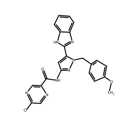 COc1ccc(Cn2nc(NC(=O)c3cnc(Cl)cn3)cc2-c2nc3ccccc3[nH]2)cc1